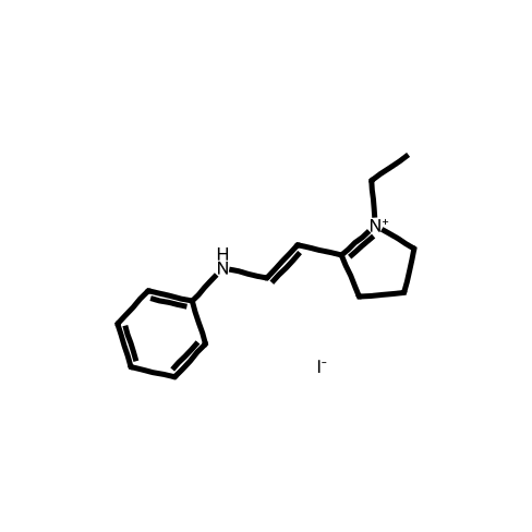 CC[N+]1=C(C=CNc2ccccc2)CCC1.[I-]